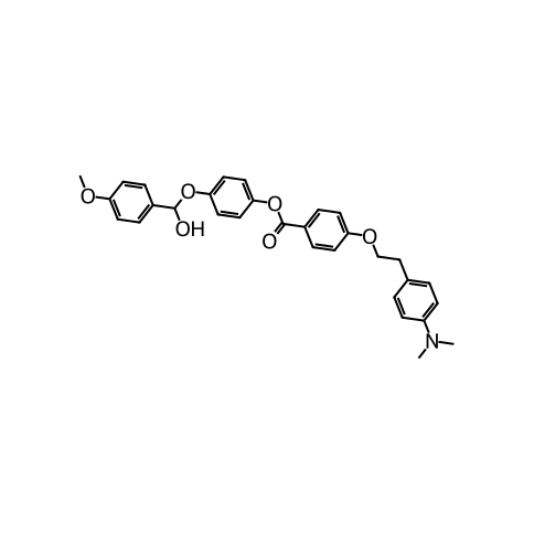 COc1ccc(C(O)Oc2ccc(OC(=O)c3ccc(OCCc4ccc(N(C)C)cc4)cc3)cc2)cc1